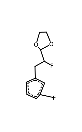 Fc1cccc(CC(F)C2OCCO2)c1